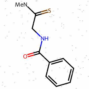 CNC(=S)CNC(=O)c1ccccc1